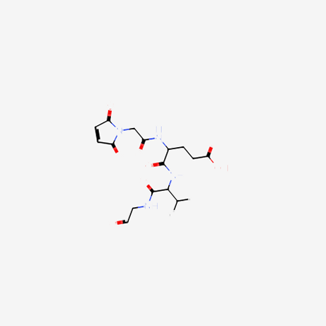 CC(C)C(NC(=O)C(CCC(=O)O)NC(=O)CN1C(=O)C=CC1=O)C(=O)NCC=O